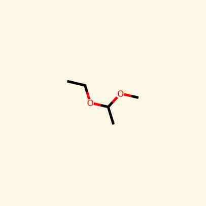 CCOC(C)OC